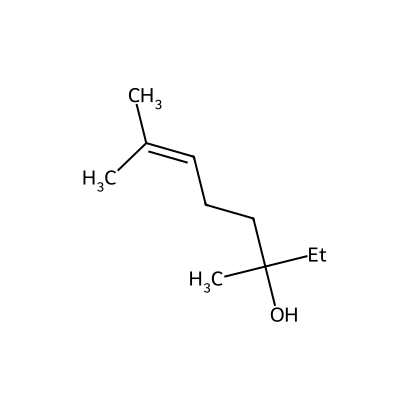 [CH2]CC(C)(O)CCC=C(C)C